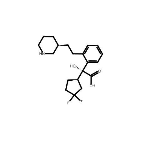 O=C(O)[C@](O)(c1ccccc1CC[C@@H]1CCCNC1)[C@@H]1CCC(F)(F)C1